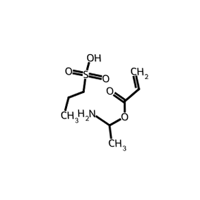 C=CC(=O)OC(C)N.CCCS(=O)(=O)O